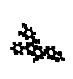 Fc1ccc(Nc2nc(-c3cccnc3)nc3c(F)cc(-c4ccc5c(c4)OCO5)cc23)cc1F